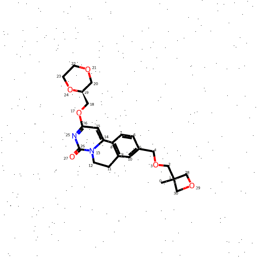 CC1(COCc2ccc3c(c2)CCn2c-3cc(OC[C@@H]3COCCO3)nc2=O)COC1